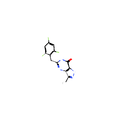 CC(C)c1n[nH]c2c(=O)[nH]c(Cc3c(F)cc(F)cc3F)nc12